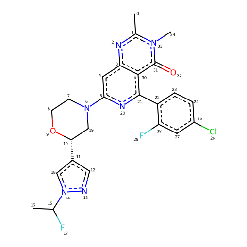 Cc1nc2cc(N3CCO[C@@H](c4cnn(C(C)F)c4)C3)nc(-c3ccc(Cl)cc3F)c2c(=O)n1C